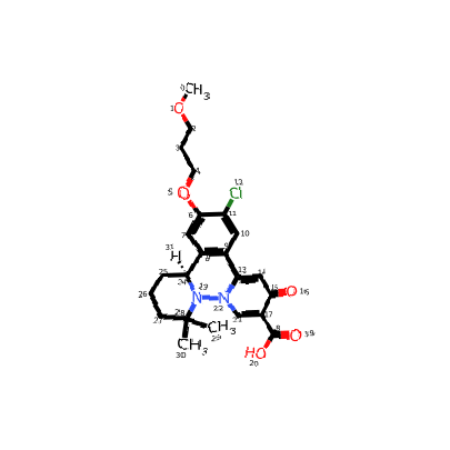 COCCCOc1cc2c(cc1Cl)-c1cc(=O)c(C(=O)O)cn1N1[C@H]2CCCC1(C)C